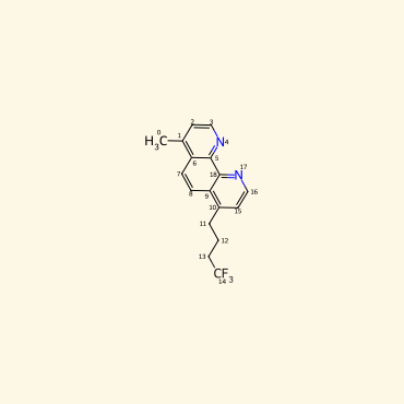 Cc1ccnc2c1ccc1c(CCCC(F)(F)F)ccnc12